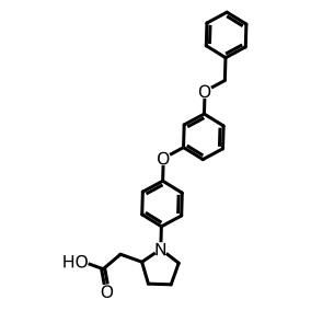 O=C(O)CC1CCCN1c1ccc(Oc2cccc(OCc3ccccc3)c2)cc1